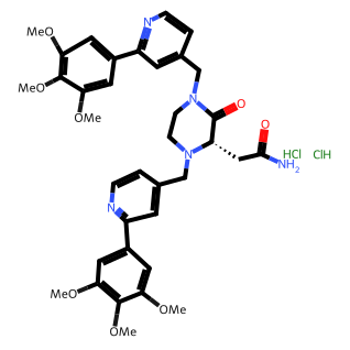 COc1cc(-c2cc(CN3CCN(Cc4ccnc(-c5cc(OC)c(OC)c(OC)c5)c4)[C@@H](CC(N)=O)C3=O)ccn2)cc(OC)c1OC.Cl.Cl